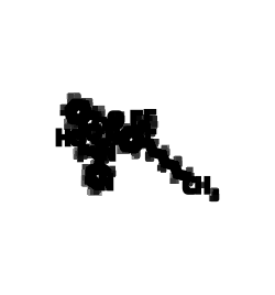 CCCCCCCCc1ccc(N(C(=O)OCc2ccccc2C(=O)O)c2nc(-c3cccnc3)c(F)s2)cc1C(F)(F)F